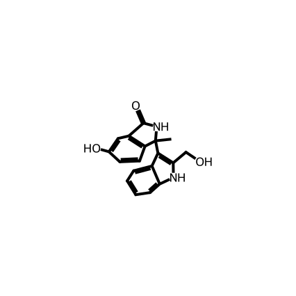 CC1(c2c(CO)[nH]c3ccccc23)NC(=O)c2cc(O)ccc21